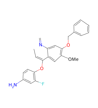 C=Nc1cc(OCc2ccccc2)c(OC)cc1/C(=C\C)Oc1ccc(N)cc1F